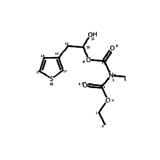 CCOC(=O)N(C)C(=O)OC(O)Cc1ccsc1